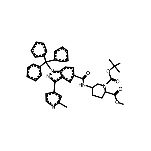 COC(=O)C1CCC(NC(=O)c2ccc3c(c2)c(-c2ccnc(C)c2)nn3C(c2ccccc2)(c2ccccc2)c2ccccc2)CN1C(=O)OC(C)(C)C